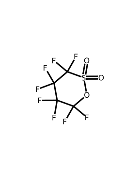 O=S1(=O)OC(F)(F)C(F)(F)C(F)(F)C1(F)F